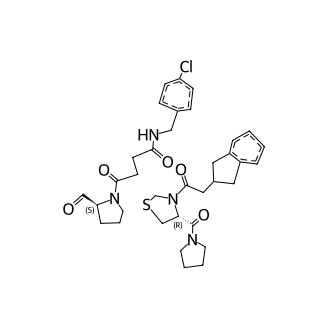 O=C([C@@H]1CSCN1C(=O)CC1Cc2ccccc2C1)N1CCCC1.O=C[C@@H]1CCCN1C(=O)CCC(=O)NCc1ccc(Cl)cc1